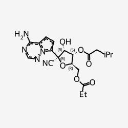 CCC(=O)OC[C@H]1O[C@@](C#N)(c2ccc3c(N)ncnn23)[C@H](O)[C@@H]1OC(=O)CC(C)C